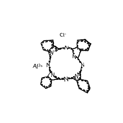 [Al+3].[Cl-].c1ccc2c(c1)-c1nc-2nc2[n-]c(nc3nc(nc4[n-]c(n1)c1ccccc41)-c1ccccc1-3)c1ccccc21